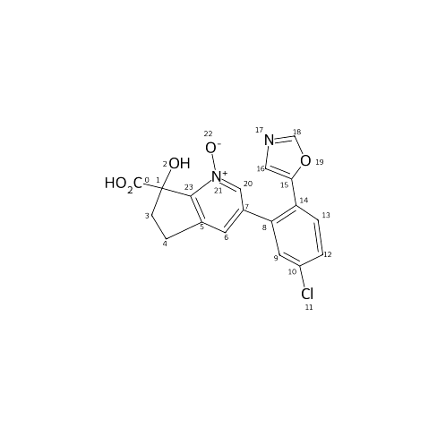 O=C(O)C1(O)CCc2cc(-c3cc(Cl)ccc3-c3cnco3)c[n+]([O-])c21